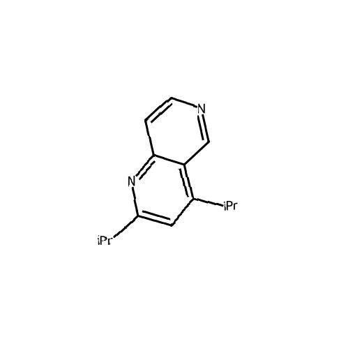 CC(C)c1cc(C(C)C)c2cnccc2n1